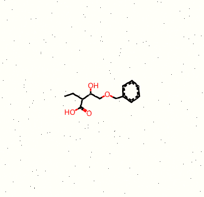 CCC(C(=O)O)C(O)COCc1ccccc1